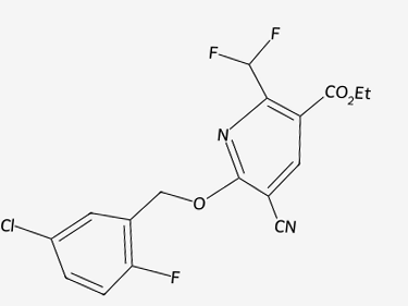 CCOC(=O)c1cc(C#N)c(OCc2cc(Cl)ccc2F)nc1C(F)F